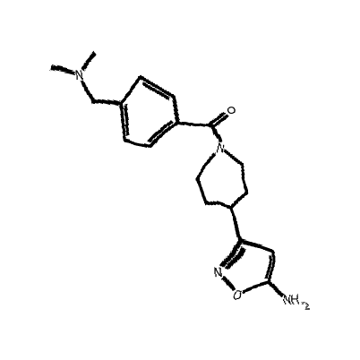 CN(C)Cc1ccc(C(=O)N2CCC(c3cc(N)on3)CC2)cc1